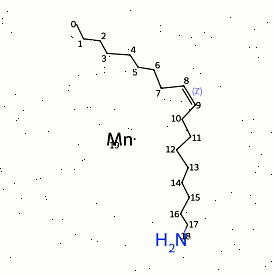 CCCCCCCC/C=C\CCCCCCCCN.[Mn]